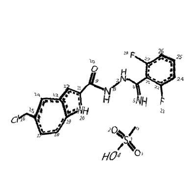 CS(=O)(=O)O.N=C(NNC(=O)c1cc2cc(Cl)ccc2[nH]1)c1c(F)cccc1F